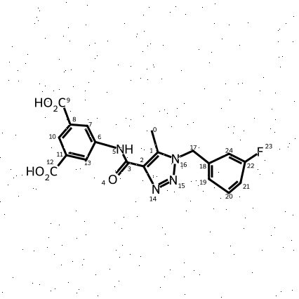 Cc1c(C(=O)Nc2cc(C(=O)O)cc(C(=O)O)c2)nnn1Cc1cccc(F)c1